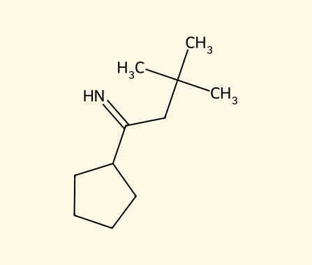 CC(C)(C)CC(=N)C1CCCC1